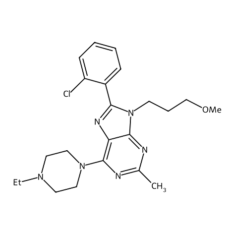 CCN1CCN(c2nc(C)nc3c2nc(-c2ccccc2Cl)n3CCCOC)CC1